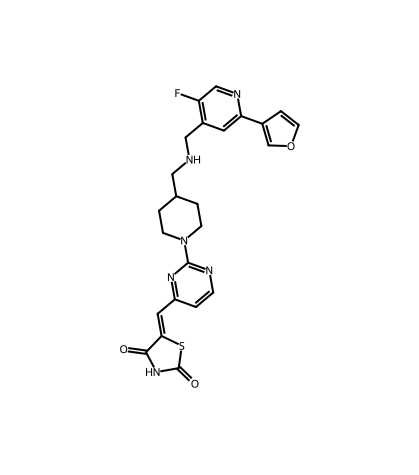 O=C1NC(=O)/C(=C/c2ccnc(N3CCC(CNCc4cc(-c5ccoc5)ncc4F)CC3)n2)S1